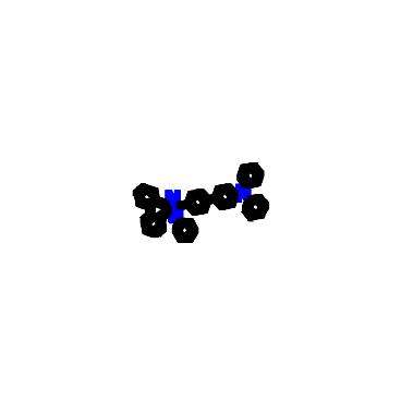 c1ccc(N(c2ccccc2)c2ccc(-c3ccc(-c4nc5c6ccccc6c6ccccc6c5n4-c4ccccc4)cc3)cc2)cc1